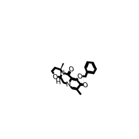 Cc1cn2c(c(OCc3ccccc3)c1=O)C(=O)N1[C@H](C)CCO[C@H]1C2